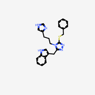 c1ccc(CSc2nnc(Cc3c[nH]c4ccccc34)n2CCCc2c[nH]cn2)cc1